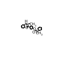 CCN(Nc1ccccc1)C(=O)c1ccc(OC(=O)N(C)c2ccccc2)cc1